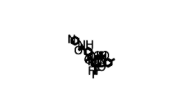 COc1cc(C(=O)NC2CCN(C)CC2)ccc1Nc1ncc(C(F)(F)F)c(Oc2ccc(C)cc2NS(C)(=O)=O)n1